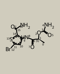 C[C@H](OC(N)=O)C(=O)Nc1cc(Br)sc1C(N)=O